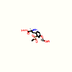 C[C@](N)(Cc1ccc(OBO)cc1S(C)(=O)=O)C(=O)O